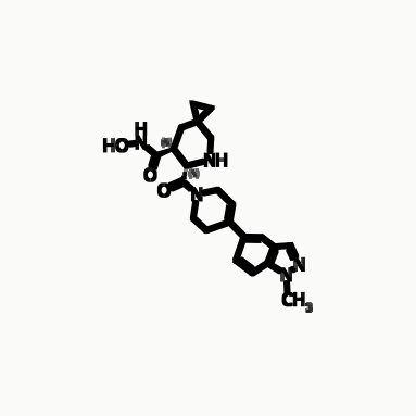 Cn1ncc2cc(C3=CCN(C(=O)[C@H]4NCC5(CC5)C[C@@H]4C(=O)NO)CC3)ccc21